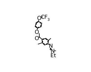 CCN(C)C=Nc1cc(C)c(C(=O)COc2ccc(OC(F)(F)F)cc2)cc1C